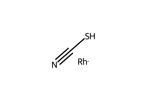 N#CS.[Rh]